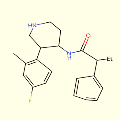 CCC(C(=O)NC1CCNCC1c1ccc(F)cc1C)c1ccccc1